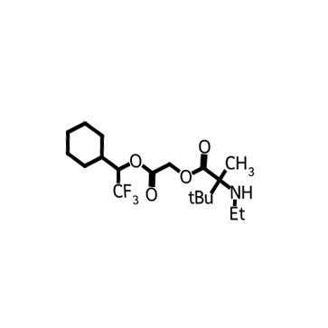 CCNC(C)(C(=O)OCC(=O)OC(C1CCCCC1)C(F)(F)F)C(C)(C)C